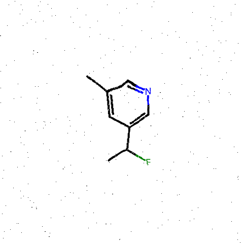 Cc1cncc(C(C)F)c1